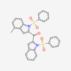 Cc1cccc2c1cc(C(=O)c1cc3ccccc3n1S(=O)(=O)c1ccccc1)n2S(=O)(=O)c1ccccc1